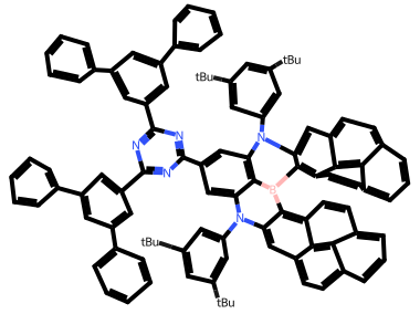 CC(C)(C)c1cc(N2c3cc(-c4nc(-c5cc(-c6ccccc6)cc(-c6ccccc6)c5)nc(-c5cc(-c6ccccc6)cc(-c6ccccc6)c5)n4)cc4c3B(c3c2cc2ccc5cccc6ccc3c2c56)c2c(cc3ccc5cccc6ccc2c3c56)N4c2cc(C(C)(C)C)cc(C(C)(C)C)c2)cc(C(C)(C)C)c1